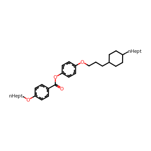 CCCCCCCOc1ccc(C(=O)Oc2ccc(OCCCC3CCC(CCCCCCC)CC3)cc2)cc1